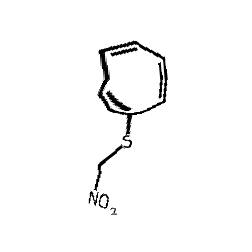 O=[N+]([O-])CSc1ccccc1